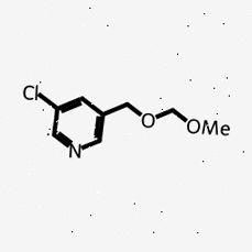 COCOCc1cn[c]c(Cl)c1